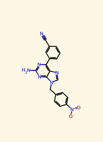 N#Cc1cccc(-c2nc(N)nc3c2ncn3Cc2ccc([N+](=O)[O-])cc2)c1